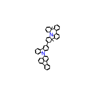 CC12CC(c3ccc4c(c3)c3ccccc3n4-c3ccc4c5c(cccc35)-c3ccccc3-4)=CC=C1N1c3c(cccc32)-c2ccccc2C2(C)C=CC=CC12